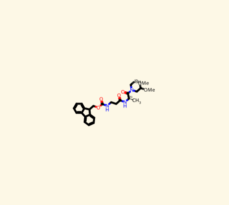 CCC(C)CN(CC(OC)OC)C(=O)[C@H](C)NC(=O)CCNC(=O)OCC1c2ccccc2-c2ccccc21